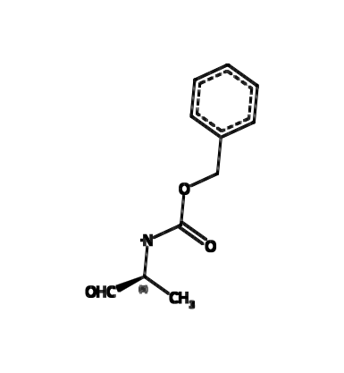 C[C@@H](C=O)[N]C(=O)OCc1ccccc1